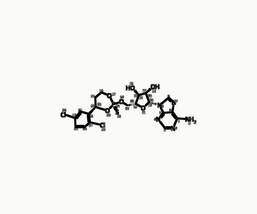 Nc1ncnc2c1ncn2[C@@H]1O[C@H](COP2(=S)OCC[C@H](c3cc(Cl)ccc3Cl)O2)[C@@H](O)[C@H]1O